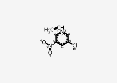 C=C.O=[N+]([O-])c1cncc(Cl)c1